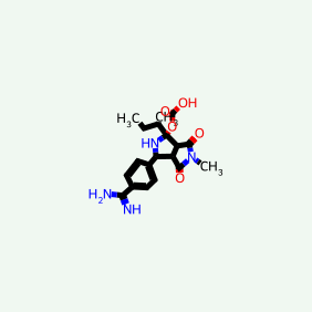 CCC(C)C1(OC(=O)O)NC(c2ccc(C(=N)N)cc2)C2C(=O)N(C)C(=O)C21